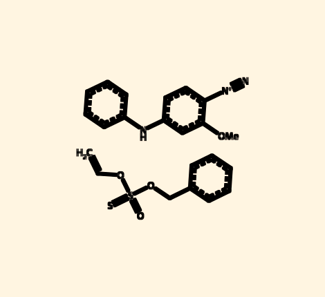 C=COS(=O)(=S)OCc1ccccc1.COc1cc(Nc2ccccc2)ccc1[N+]#N